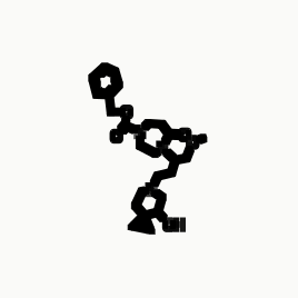 COCC(CCN1CCC2(CC2)C(O)C1)N1CCN(C(=O)OCc2ccccc2)CCC1=O